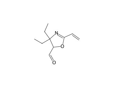 C=CC1=NC(CC)(CC)C(C=O)O1